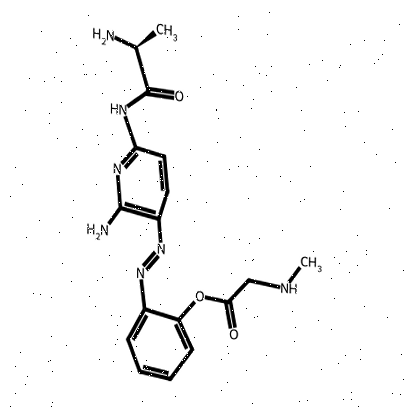 CNCC(=O)Oc1ccccc1/N=N/c1ccc(NC(=O)[C@H](C)N)nc1N